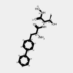 C[C@@H](O)[C@H](NC(=O)[C@H](N)Cc1ccc(-c2ccccc2)cc1)C(=O)NO